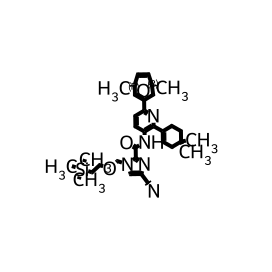 CC1(C)CC=C(c2nc(C3=C[C@@]4(C)C=C[C@@](C)(C3)O4)ccc2NC(=O)c2nc(C#N)cn2COCC[Si](C)(C)C)CC1